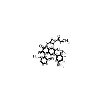 C=CC(=O)N1CC(Cn2c(=O)c(=O)n(-c3c(C)cccc3C(C)C)c3cc(-c4cc(N)ccc4C(F)(F)F)c(Cl)cc32)C1